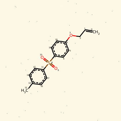 C=CCOc1ccc(S(=O)(=O)c2ccc(C)cc2)cc1